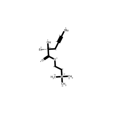 CC[C@](O)(CC#CC(C)(C)C)C(=O)OCC[Si](C)(C)C